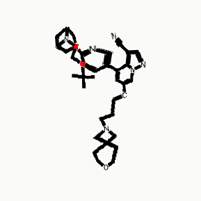 CC(C)(C)OCCN1C2CC1CN(c1ccc(-c3cc(OCCCN4CC5(CCOCC5)C4)cn4ncc(C#N)c34)cn1)C2